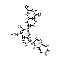 Nc1c(Cl)c(N2CCN3C(=O)NC(=O)CC3C2)nc2c(-c3cnc4ccccc4c3)cnn12